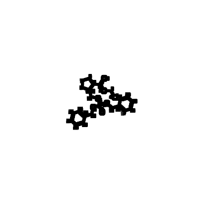 O=C(OCCl)C1CCC[C@H]1COP(=O)(OCc1ccccc1)OCc1ccccc1